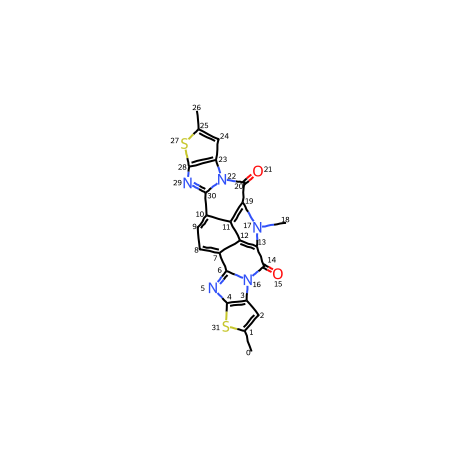 Cc1cc2c(nc3c4ccc5c6c4c(c(=O)n23)n(C)c6c(=O)n2c3cc(C)sc3nc52)s1